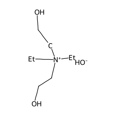 CC[N+](CC)(CCO)CCO.[OH-]